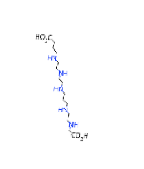 O=C(O)CCCNCCNCCNCCCNCCNCC(=O)O